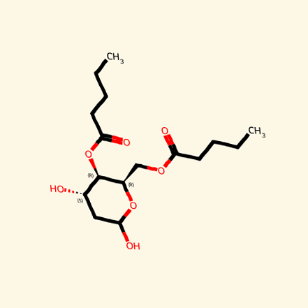 CCCCC(=O)OC[C@H]1OC(O)C[C@H](O)[C@H]1OC(=O)CCCC